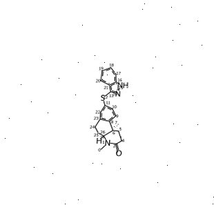 CN1C(=O)CC[C@]2(C)c3ccc(Sc4n[nH]c5ccccc45)cc3CC[C@@H]12